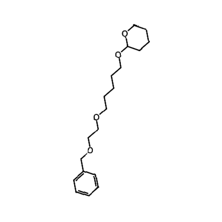 c1ccc(COCCOCCCCCOC2CCCCO2)cc1